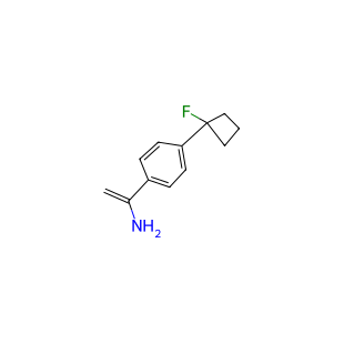 C=C(N)c1ccc(C2(F)CCC2)cc1